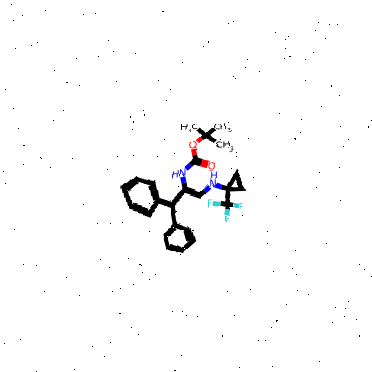 CC(C)(C)OC(=O)NC(CNC1(C(F)(F)F)CC1)C(c1ccccc1)c1ccccc1